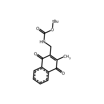 CC1=C(CNC(=O)OC(C)(C)C)C(=O)c2ccccc2C1=O